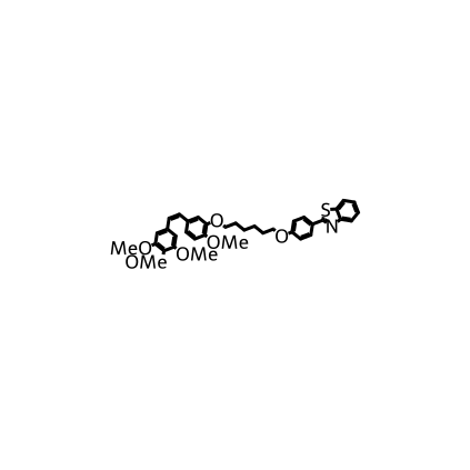 COc1ccc(/C=C\c2cc(OC)c(OC)c(OC)c2)cc1OCCCCCCOc1ccc(-c2nc3ccccc3s2)cc1